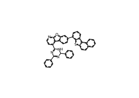 c1ccc(C2=NC(c3ccccc3)NC(c3ccnc4oc5cc(-c6cccc7c6sc6ccc8ccccc8c67)ccc5c34)=N2)cc1